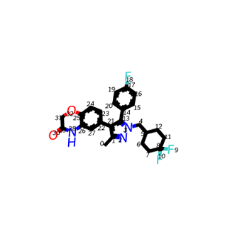 Cc1nn(CC2CCC(F)(F)CC2)c(-c2ccc(F)cc2)c1-c1ccc2c(c1)NC(=O)CO2